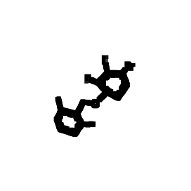 Cc1cccc(C)c1COc1ccc(Br)c(F)c1F